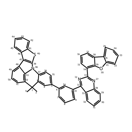 CC1(C)c2cc(-c3cccc(-c4nc(-c5cccc6c5oc5ccccc56)nc5ccccc45)c3)ccc2-n2c3sc4ccccc4c3c3cccc1c32